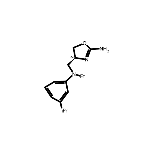 CCN(C[C@H]1COC(N)=N1)c1cccc(C(C)C)c1